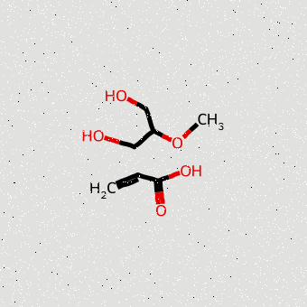 C=CC(=O)O.COC(CO)CO